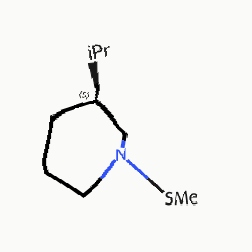 CSN1CCC[C@@H](C(C)C)C1